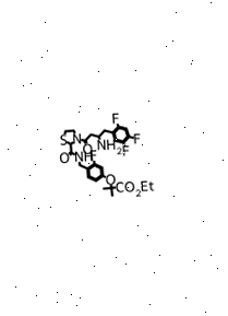 CCOC(=O)C(C)(C)Oc1ccc(CNC(=O)C2SCCN2C(=O)CC(N)Cc2cc(F)c(F)cc2F)c(F)c1